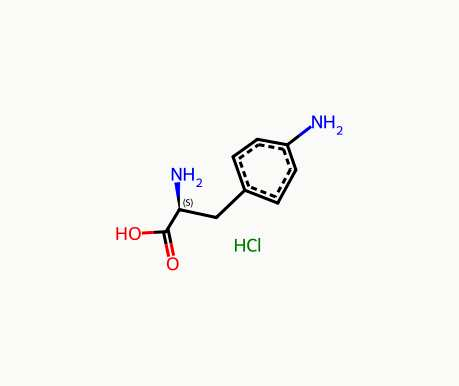 Cl.Nc1ccc(C[C@H](N)C(=O)O)cc1